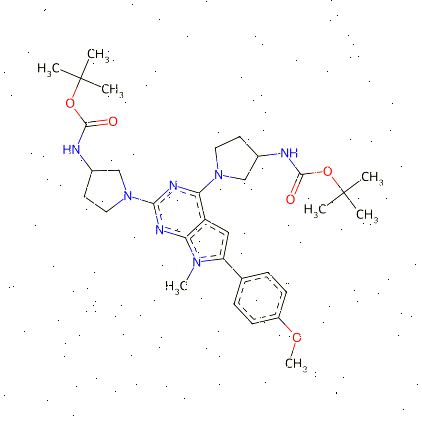 COc1ccc(-c2cc3c(N4CCC(NC(=O)OC(C)(C)C)C4)nc(N4CCC(NC(=O)OC(C)(C)C)C4)nc3n2C)cc1